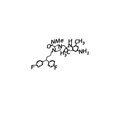 CNC(=O)C1CN(CC(=O)Nc2c(C)cc(N)cc2C)CCN1CCCC(c1ccc(F)cc1)c1ccc(F)cc1